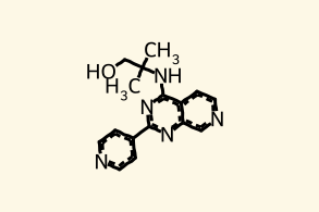 CC(C)(CO)Nc1nc(-c2ccncc2)nc2cnccc12